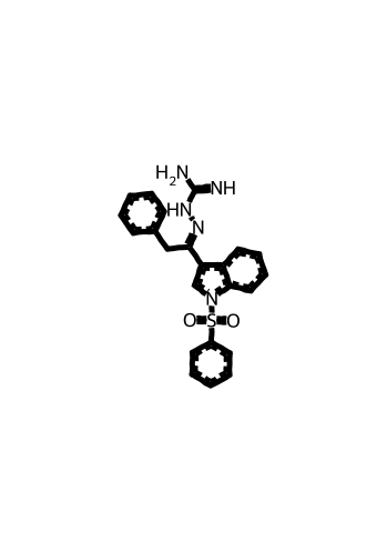 N=C(N)NN=C(Cc1ccccc1)c1cn(S(=O)(=O)c2ccccc2)c2ccccc12